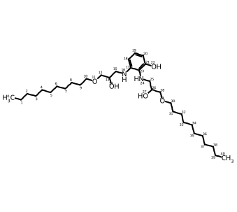 CCCCCCCCCCCOCC(O)CNc1cccc(O)c1NCC(O)COCCCCCCCCCCC